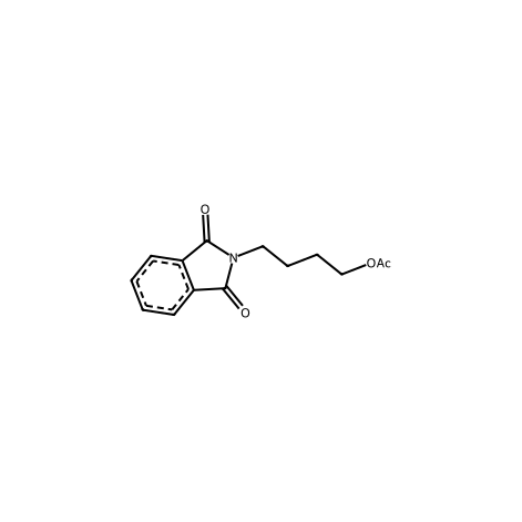 CC(=O)OCCCCN1C(=O)c2ccccc2C1=O